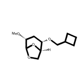 CO[C@@H]1C[C@H](OCC2CCC2)[C@H]2COC1O2